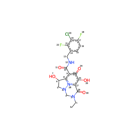 CCN1CN2CC(O)c3c(C(=O)NCc4ccc(F)c(Cl)c4F)c(=O)c(O)c(n32)C1=O